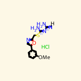 Cl.[H]/N=C(N)/N=C(\N)SCc1ncc(-c2cccc(OC)c2)o1